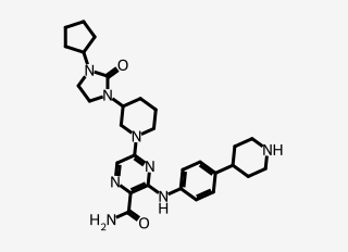 NC(=O)c1ncc(N2CCCC(N3CCN(C4CCCC4)C3=O)C2)nc1Nc1ccc(C2CCNCC2)cc1